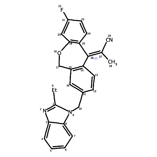 CCc1nc2ccccc2n1Cc1ccc2c(c1)COc1cc(F)ccc1/C2=C(/C)C#N